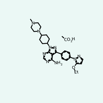 CC(=O)O.CCOc1ccnn1-c1ccc(-c2nn(C3CCC(N4CCN(C)CC4)CC3)c3ncnc(N)c23)cc1